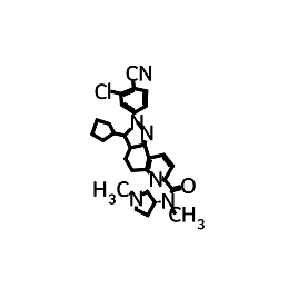 CN1CC[C@@H](N(C)C(=O)c2ccc3c(n2)CCC2C3=NN(c3ccc(C#N)c(Cl)c3)C2C2CCCC2)C1